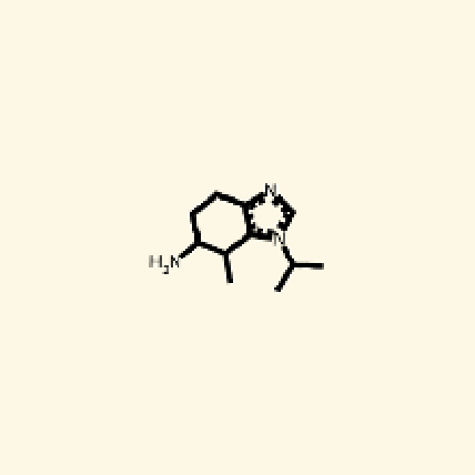 CC1c2c(ncn2C(C)C)CCC1N